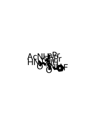 CCCC(CCC)(NC(C)=O)C(=O)N[C@@H](CCC(=O)C=N)C(=O)NCc1ccc(F)cc1